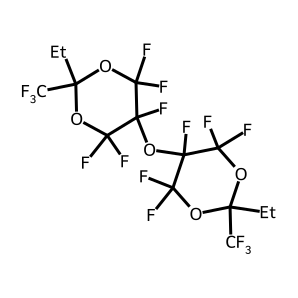 CCC1(C(F)(F)F)OC(F)(F)C(F)(OC2(F)C(F)(F)OC(CC)(C(F)(F)F)OC2(F)F)C(F)(F)O1